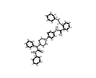 O=C(Nc1ccc(N2CCC(C(C(=O)Nc3ccccc3)c3ccccc3)CC2)cc1)c1ccccc1CCc1ccccc1